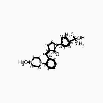 CN1CCN(c2ccccc2C=C2CCN(c3ccc(C(C)(C)O)cc3)C2=O)CC1